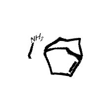 C1=C2CCC(C1)C2.CN